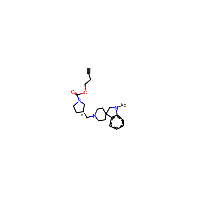 C#CCCOC(=O)N1CC[C@H](CN2CCC3(CC2)CN(C(C)=O)c2ccccc23)C1